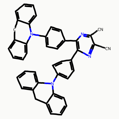 N#Cc1nc(-c2ccc(N3c4ccccc4Cc4ccccc43)cc2)c(-c2ccc(N3c4ccccc4Cc4ccccc43)cc2)nc1C#N